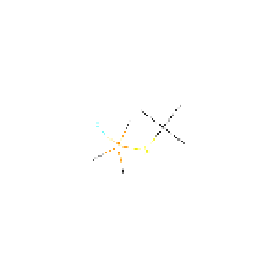 CC(C)(C)SP(C)(C)(C)F